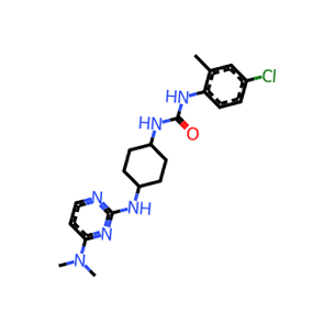 Cc1cc(Cl)ccc1NC(=O)NC1CCC(Nc2nccc(N(C)C)n2)CC1